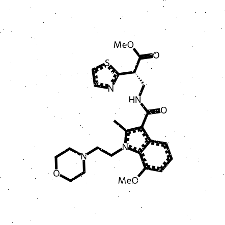 COC(=O)[C@H](CNC(=O)c1c(C)n(CCN2CCOCC2)c2c(OC)cccc12)c1nccs1